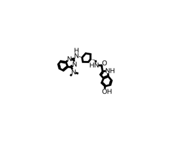 CN(C)c1nc(N[C@H]2CC[C@@H](CNC(=O)c3cc4cc(O)ccc4[nH]3)CC2)nc2ccccc12